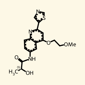 COCCOc1cc(-c2cncs2)nc2ccc(NC(=O)[C@H](C)O)cc12